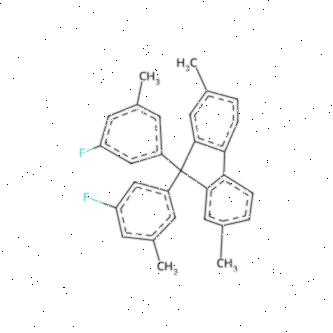 Cc1cc(F)cc(C2(c3cc(C)cc(F)c3)c3cc(C)ccc3-c3ccc(C)cc32)c1